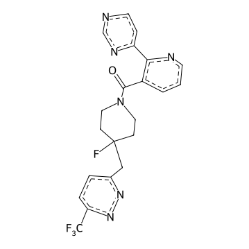 O=C(c1cccnc1-c1ccncn1)N1CCC(F)(Cc2ccc(C(F)(F)F)nn2)CC1